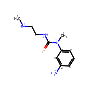 CNCCNC(=O)N(C)c1cccc(N)c1